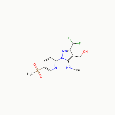 CCC(C)Nc1c(CO)c(C(F)F)nn1-c1ccc(S(C)(=O)=O)cn1